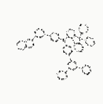 c1ccc(-c2cc(-c3ccccc3)cc(-c3ccc(N(c4ccc(-c5cccc(-c6ccc7ccccc7c6)c5)cc4)c4cccc5c4-c4ccccc4C5(c4ccccc4)c4ccccc4)cc3)c2)cc1